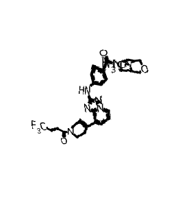 CN1C2COCC1CN(C(=O)c1ccc(Nc3nc4c(C5=CCN(C(=O)CCC(F)(F)F)CC5)cccn4n3)cc1)C2